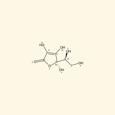 O=C1O[C@](O)([C@@H](O)CO)C(O)=C1O